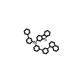 c1ccc(-c2cccc(N(c3cccc(-c4cccc(-c5cccc6ccccc56)c4)c3)c3ccc4c(c3)sc3ccccc34)c2)cc1